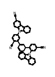 N#Cc1ccc(C2C=C(c3cc(-n4c5ccccc5c5cc(C#N)ccc54)ccc3C#N)C=CC2)c(-n2c3c#cccc3c3ccccc32)c1